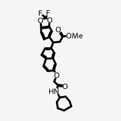 COC(=O)CC(c1ccc2c(c1)OC(F)(F)O2)c1ccc2ccc(OCC(=O)NC3CCCCCC3)cc2c1